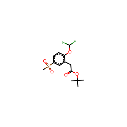 CC(C)(C)OC(=O)Cc1cc(S(C)(=O)=O)ccc1OC(F)F